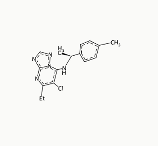 CCc1nc2ncnn2c(N[C@@H](C)c2ccc(C)cc2)c1Cl